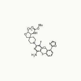 C[C@@H]1OCC2(CCN(c3nc(N)c(Sc4cccc(-c5ncco5)c4Cl)nc3F)CC2)[C@@H]1NC(=O)OC(C)(C)C